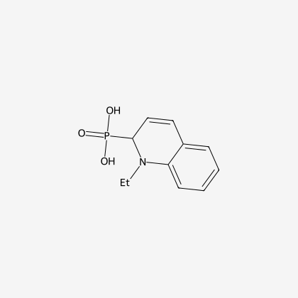 CCN1c2ccccc2C=CC1P(=O)(O)O